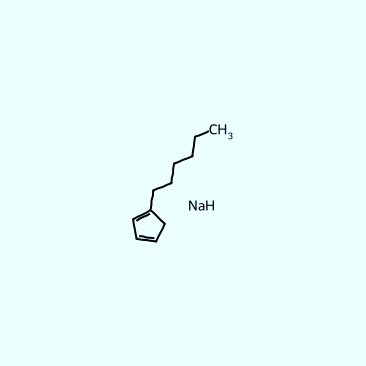 CCCCCCC1=CC=CC1.[NaH]